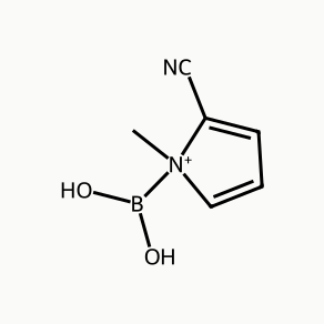 C[N+]1(B(O)O)C=CC=C1C#N